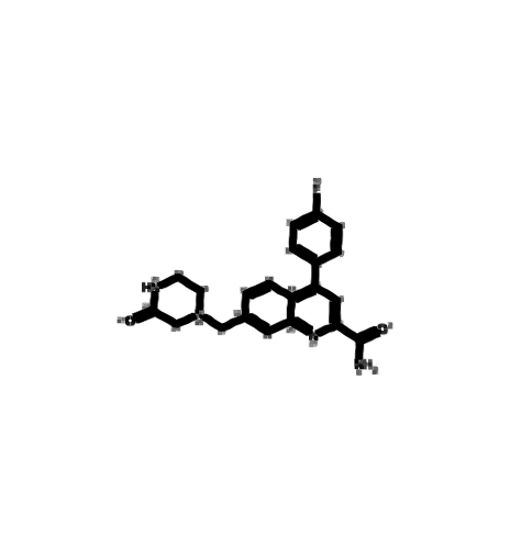 NC(=O)c1cc(-c2ccc(F)cc2)c2ccc(CN3CCNC(=O)C3)cc2n1